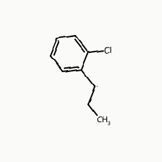 CC[CH]c1ccccc1Cl